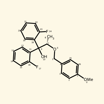 COc1ccc(CO[C@@H](C)C(O)(c2ccccc2F)c2ccccc2F)cc1